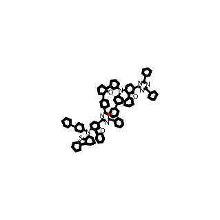 c1ccc(-c2ccc(N(c3cccc4c3oc3c(-c5ccc(-c6nc(-c7ccccc7)nc(-c7ccc(N(c8ccc(-c9ccccc9)cc8)c8cccc9c8sc8ccccc89)c8c7oc7ccccc78)n6)cc5)cccc34)c3ccc(-c4nc(-c5ccccc5)nc(-c5ccccc5)n4)c4oc5ccccc5c34)cc2)cc1